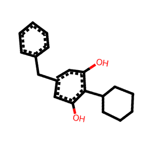 Oc1cc(Cc2ccccc2)cc(O)c1C1CCCCC1